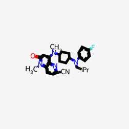 CC(C)CN(c1ccc(F)cc1)C1CCC(N(C)c2cc(=O)n(C)c3ccc(C#N)nc23)CC1